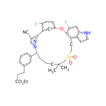 CCOC(=O)CCc1cccc(C2CCCC(C)(C)CS(=O)(=O)CCc3c(c(F)cc4[nH]ccc34)Oc3ccc(F)c(c3)-c3nn2cc3C#N)c1